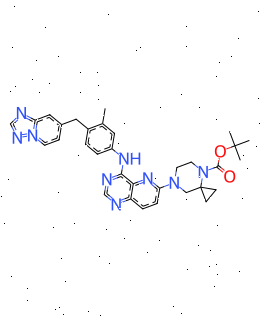 Cc1cc(Nc2ncnc3ccc(N4CCN(C(=O)OC(C)(C)C)C5(CC5)C4)nc23)ccc1Cc1ccn2ncnc2c1